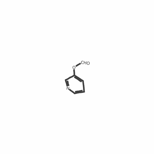 O=COc1cccnc1